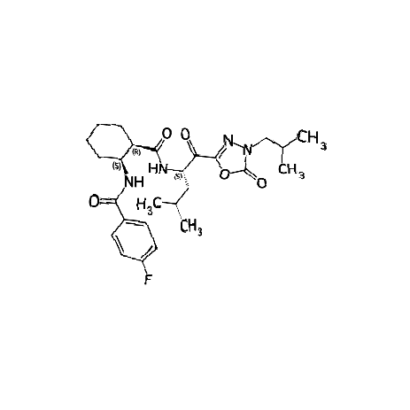 CC(C)C[C@H](NC(=O)[C@@H]1CCCC[C@@H]1NC(=O)c1ccc(F)cc1)C(=O)c1nn(CC(C)C)c(=O)o1